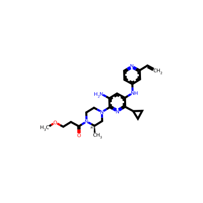 C=Cc1cc(Nc2cc(N)c(N3CCN(C(=O)CCOC)[C@H](C)C3)nc2C2CC2)ccn1